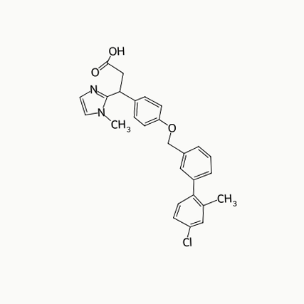 Cc1cc(Cl)ccc1-c1cccc(COc2ccc(C(CC(=O)O)c3nccn3C)cc2)c1